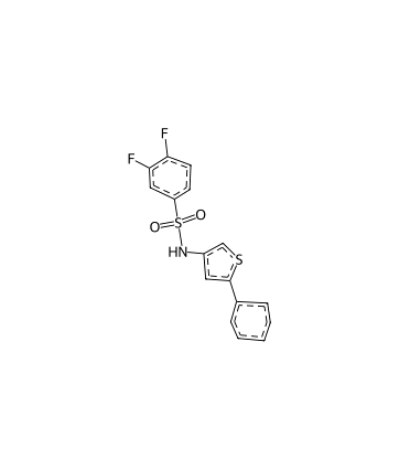 O=S(=O)(Nc1csc(-c2ccccc2)c1)c1ccc(F)c(F)c1